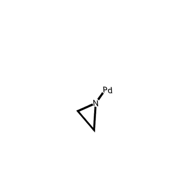 [Pd][N]1CC1